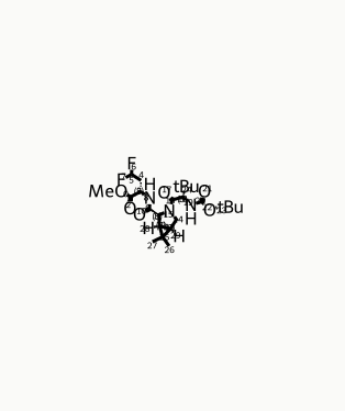 COC(=O)[C@H](CC(F)F)NC(=O)[C@@H]1[C@@H]2[C@H](CN1C(=O)[C@@H](NC(=O)OC(C)(C)C)C(C)(C)C)C2(C)C